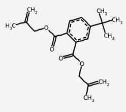 C=C(C)COC(=O)c1ccc(C(C)(C)C)cc1C(=O)OCC(=C)C